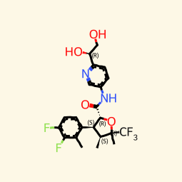 Cc1c([C@H]2[C@H](C(=O)Nc3ccc([C@@H](O)CO)nc3)O[C@@](C)(C(F)(F)F)[C@H]2C)ccc(F)c1F